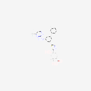 Cc1ccc(F)c(-c2cc(Nc3nccc(C(F)(F)F)n3)cc(-c3cnc([C@]4(O)CC[C@@H](C(=O)O)C(C)(C)C4)s3)c2)c1